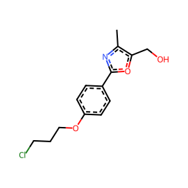 Cc1nc(-c2ccc(OCCCCl)cc2)oc1CO